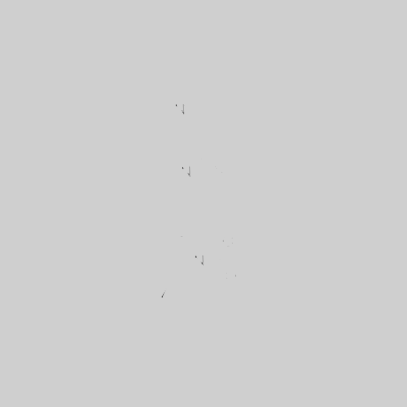 CC(CN(C)C)c1nc2cc([C@H]3CC[C@H](C)CN3C(=O)OC(C)(C)C)ccc2s1